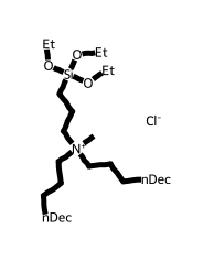 CCCCCCCCCCCCC[N+](C)(CCCCCCCCCCCCC)CCC[Si](OCC)(OCC)OCC.[Cl-]